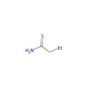 CCCC(N)=S